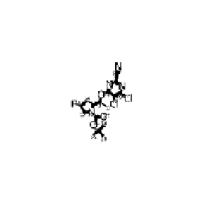 C[C@H](Oc1nc(C#N)nc(Cl)c1Cl)[C@@H]1C[C@@H](F)CN1C(=O)OC(C)(C)C